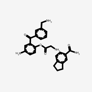 NC(=O)c1ccc2c(c1)CCC2.NCC(=O)Oc1ccc(N)cc1C(=O)c1cccc(CN)c1